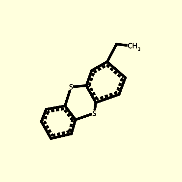 CCc1ccc2c(c1)Sc1ccccc1S2